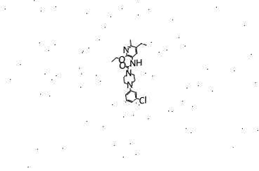 CCOc1nc(C)c(CC)cc1NC(=O)N1CCN(c2cccc(Cl)c2)CC1